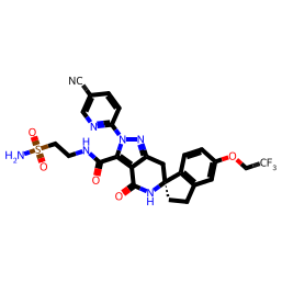 N#Cc1ccc(-n2nc3c(c2C(=O)NCCS(N)(=O)=O)C(=O)N[C@@]2(CCc4cc(OCC(F)(F)F)ccc42)C3)nc1